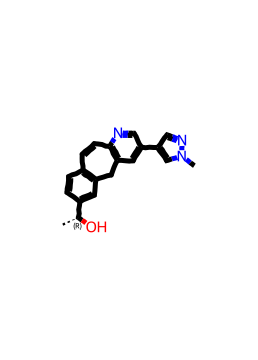 C[C@@H](O)c1ccc2c(c1)Cc1cc(-c3cnn(C)c3)cnc1C=C2